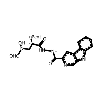 CCCCC[C@H](CN(O)C=O)C(=O)NNC(=O)c1cc2c(cn1)[nH]c1ccccc12